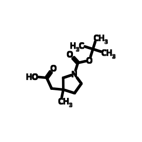 CC1(CC(=O)O)CCN(C(=O)OC(C)(C)C)C1